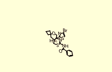 O=C(NC1=N[C@@]2(c3nc(Br)cs3)COC3(CCC3)C[C@H]2CS1)c1ccccc1